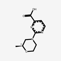 C[C@H]1CN(c2nccc(C(=O)O)n2)CCO1